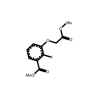 COC(=O)c1cccc(OCC(=O)OC(C)(C)C)c1F